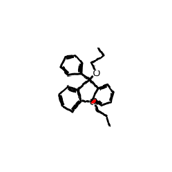 CCCOc1ccccc1C(OCCC)(c1ccccc1)c1ccccc1